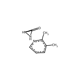 Cc1cccnc1C.O=C1NN1